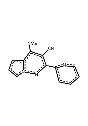 CNc1c(C#N)c(-c2ccccn2)nn2cccc12